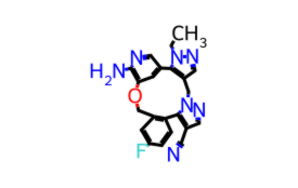 CCn1ncc2c1-c1cnc(N)c(c1)OCc1cc(F)ccc1-c1c(C#N)cnn1C2